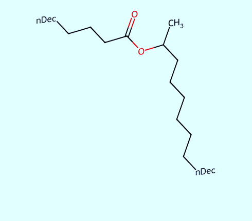 CCCCCCCCCCCCCCCCC(C)OC(=O)CCCCCCCCCCCCC